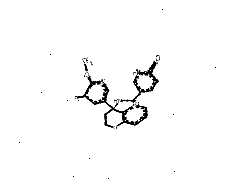 O=C(N[C@]1(c2cnc(OC(F)(F)F)c(F)c2)CCOc2cccnc21)c1ccc(=O)[nH]c1